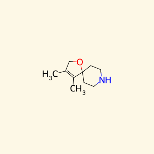 CC1=C(C)C2(CCNCC2)OC1